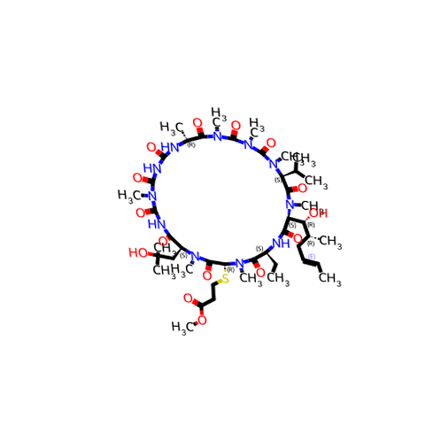 C/C=C/C[C@@H](C)[C@@H](O)[C@H]1C(=O)N[C@@H](CC)C(=O)N(C)[C@H](SCCC(=O)OC)C(=O)N(C)[C@@H](CC(C)(C)O)C(=O)NC(=O)N(C)C(=O)NC(=O)N[C@H](C)C(=O)N(C)C(=O)N(C)C(=O)N(C)[C@@H](C(C)C)C(=O)N1C